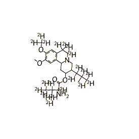 [2H]C([2H])([2H])Oc1cc2c(cc1OC)C1CC(OC(=O)[C@@]([2H])(N)C([2H])(C([2H])([2H])[2H])C([2H])([2H])[2H])C(C([2H])([2H])C([2H])(C)C([2H])([2H])[2H])CN1C([2H])([2H])C2([2H])[2H]